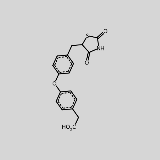 O=C(O)Cc1ccc(Oc2ccc(CC3SC(=O)NC3=O)cc2)cc1